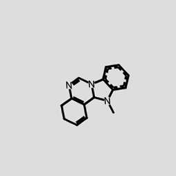 CN1c2ccccc2N2C=NC3=C(C=CCC3)C12